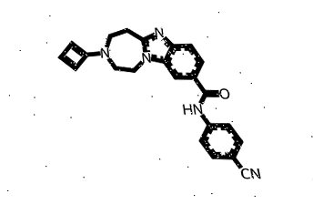 N#Cc1ccc(NC(=O)c2ccc3nc4n(c3c2)CCN(C2=CC=C2)CC4)cc1